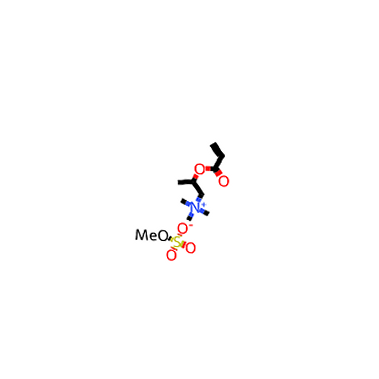 C=CC(=O)OC(C)C[N+](C)(C)C.COS(=O)(=O)[O-]